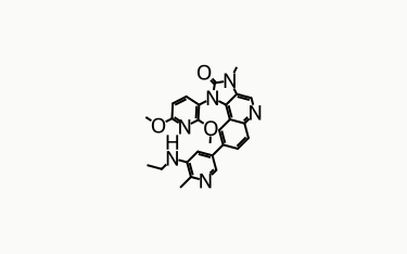 CCNc1cc(-c2ccc3ncc4c(c3c2)n(-c2ccc(OC)nc2OC)c(=O)n4C)cnc1C